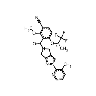 COc1c(C#N)ccc(O[C@@H](C)C(F)(F)F)c1C(=O)N1Cc2cn(-c3ncccc3C)nc2C1